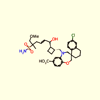 COCC(C)(C/C=C/C(O)[C@@H]1CC[C@H]1CN1C[C@@]2(CCCc3cc(Cl)ccc32)COc2ccc(C(=O)O)cc21)S(N)(=O)=O